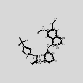 C=C(NC1=NCC(C(C)(C)C)=C1)Nc1cccc(Sc2ncnc3cc(CC)c(OC)cc23)c1